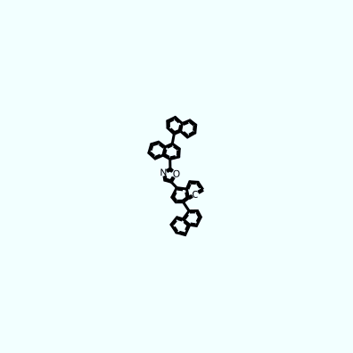 c1ccc2c(-c3ccc(-c4cnc(-c5ccc(-c6cccc7ccccc67)c6ccccc56)o4)c4ccccc34)cccc2c1